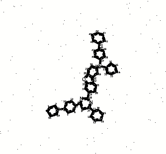 c1ccc(-c2ccc(-c3cc(-c4ccccc4)nc(-c4ccc5c(c4)oc4ccc(N(c6ccccc6)c6ccc(-c7ccccc7)cc6)cc45)n3)cc2)cc1